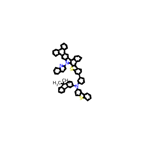 CC1(C)c2ccccc2-c2cc(N(c3cccc(-c4ccc5c(c4)sc4c5c5ccccc5c5c6cc7c8ccccc8c8ccccc8c7cc6n(-c6ccc7ccccc7n6)c45)c3)c3ccc4sc5ccccc5c4c3)ccc21